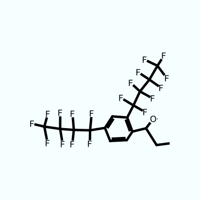 CCC([O])c1ccc(C(F)(F)C(F)(F)C(F)(F)C(F)(F)F)cc1C(F)(F)C(F)(F)C(F)(F)C(F)(F)F